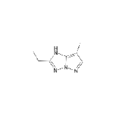 CCc1nn2ncc(C)c2[nH]1